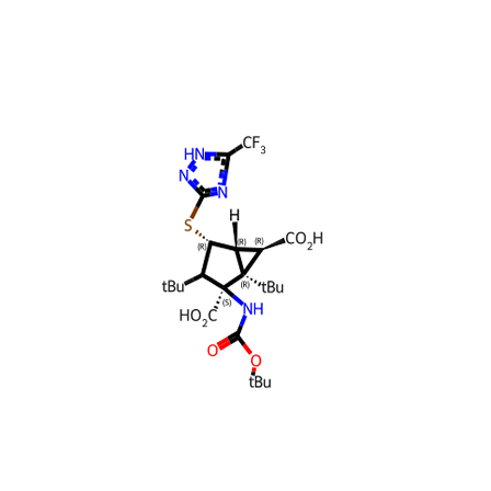 CC(C)(C)OC(=O)N[C@@]1(C(=O)O)C(C(C)(C)C)[C@H](Sc2n[nH]c(C(F)(F)F)n2)[C@@H]2[C@@H](C(=O)O)[C@]21C(C)(C)C